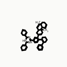 CC12C=CC3CC(c4cc(C5=NC(C6=CC=CCC6)NC(C6=CCCC=C6)N5)ccc4C4=C(c5ccccc5)CCCC4)=CCC3(C)C1C=CCC2